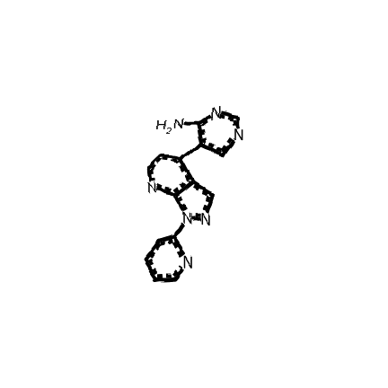 Nc1ncncc1-c1ccnc2c1cnn2-c1ccccn1